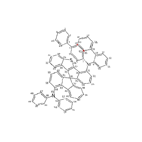 c1ccc(-c2ccc(N(c3ccccc3-c3ccccc3)c3cccc4c3-c3sc5ccccc5c3C43c4ccccc4-c4c(N(c5ccccc5)c5ccccc5)cccc43)cc2)cc1